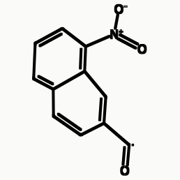 O=[C]c1ccc2cccc([N+](=O)[O-])c2c1